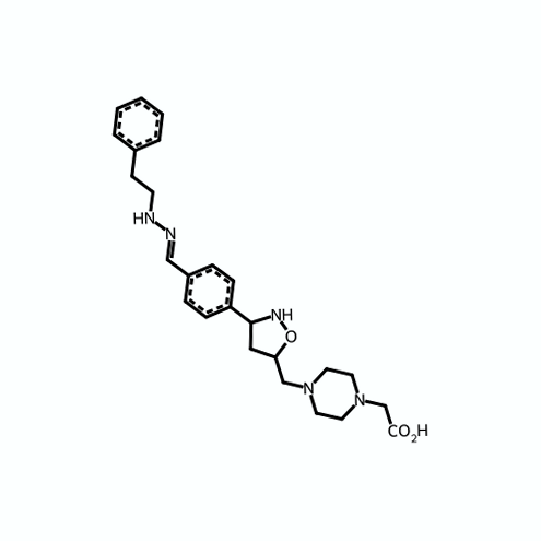 O=C(O)CN1CCN(CC2CC(c3ccc(C=NNCCc4ccccc4)cc3)NO2)CC1